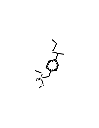 CCOC(C)c1ccc(CP(=O)(OC)OC)cc1